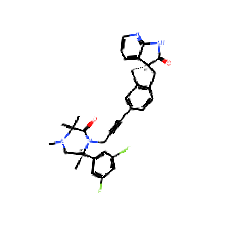 CN1C[C@@](C)(c2cc(F)cc(F)c2)N(CC#Cc2ccc3c(c2)C[C@@]2(C3)C(=O)Nc3ncccc32)C(=O)C1(C)C